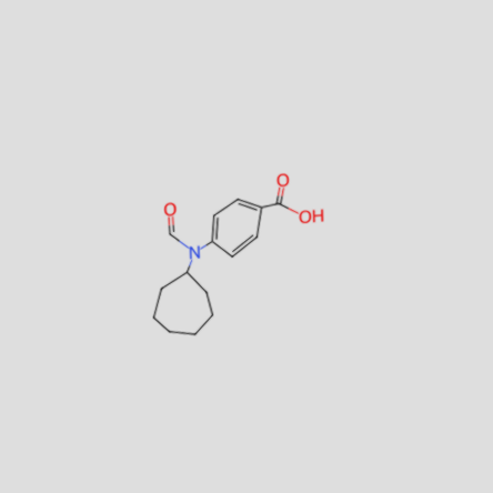 O=CN(c1ccc(C(=O)O)cc1)C1CCCCCC1